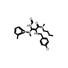 CCCCN(C)C(=O)/C(NCc1ccc(Cl)cc1)=C(\NC=O)N(C)P1c2cccc(C)c21